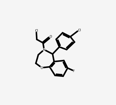 O=C(CCl)N1CCOc2ccc(F)cc2C1c1ccc(Cl)cc1